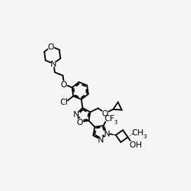 C[C@]1(O)C[C@@H](n2ncc(-c3onc(-c4cccc(OCCN5CCOCC5)c4Cl)c3COC3CC3)c2C(F)(F)F)C1